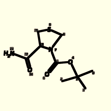 CC(C)(C)OC(=O)N1CSCC1C(N)=O